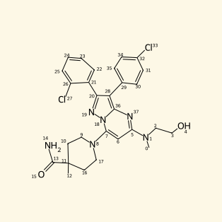 CN(CCO)c1cc(N2CCC(C)(C(N)=O)CC2)n2nc(-c3ccccc3Cl)c(-c3ccc(Cl)cc3)c2n1